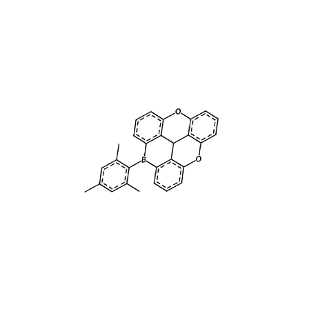 Cc1cc(C)c(B2c3cccc4c3C3c5c(cccc5Oc5cccc2c53)O4)c(C)c1